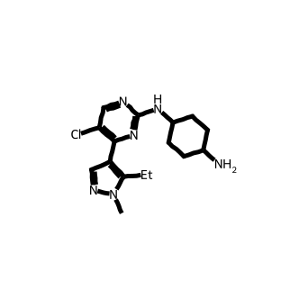 CCc1c(-c2nc(NC3CCC(N)CC3)ncc2Cl)cnn1C